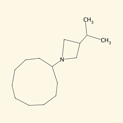 CC(C)C1CN(C2CCCCCCCCC2)C1